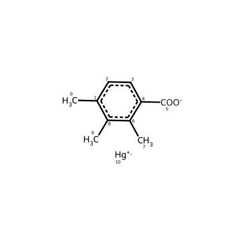 Cc1ccc(C(=O)[O-])c(C)c1C.[Hg+]